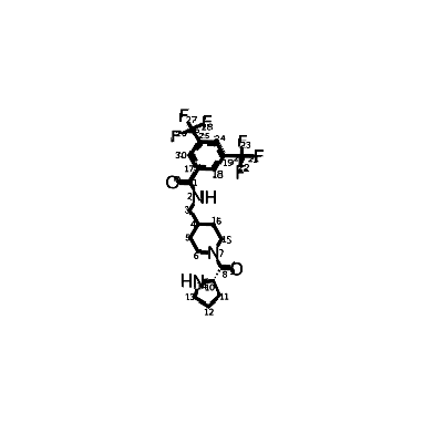 O=C(NCC1CCN(C(=O)[C@@H]2CCCN2)CC1)c1cc(C(F)(F)F)cc(C(F)(F)F)c1